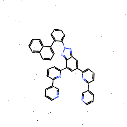 c1cncc(-c2cccc(-c3cc(-c4cccc(-c5cccnc5)n4)c4nn(-c5ccccc5-c5cccc6ccccc56)nc4c3)n2)c1